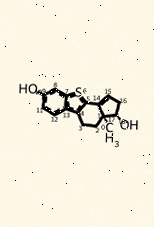 C[C@@]12CCc3c(sc4cc(O)ccc34)C1=CC[C@H]2O